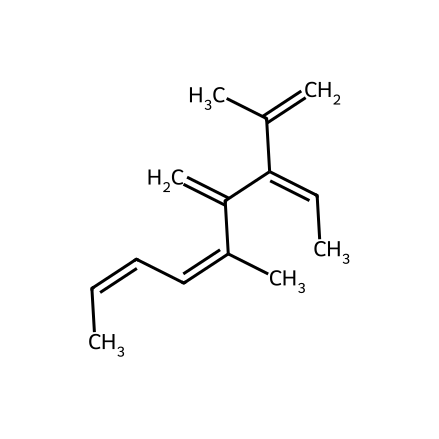 C=C(C)/C(=C/C)C(=C)/C(C)=C\C=C/C